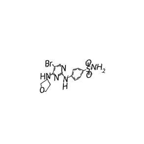 NS(=O)(=O)c1ccc(Nc2ncc(Br)c(N[C@H]3CCOC3)n2)cc1